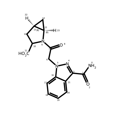 NC(=O)c1nn(CC(=O)N2C(C(=O)O)C[C@H]3C[C@H]32)c2ccccc12